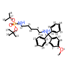 COc1ccc(C(NCCCCCNP(=O)(OC(C)C)OC(C)(C)C)(c2ccccc2)c2ccccc2)cc1